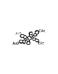 CC(=O)Oc1ccc2cc(C3(c4ccc5cc(OC(C)=O)ccc5c4)c4ccccc4-c4cc5c(cc43)-c3ccccc3C5(c3ccc4cc(OC(C)=O)ccc4c3)c3ccc4cc(OC(C)=O)ccc4c3)ccc2c1